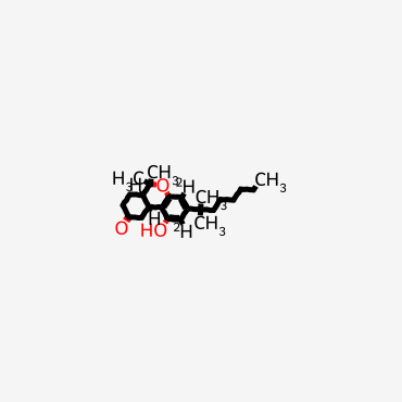 [2H]c1c(O)c2c(c([2H])c1C(C)(C)CCCCCC)OC(C)(C)[C@@H]1CCC(=O)C[C@@H]21